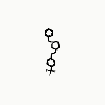 FC(F)(F)c1ccc(CC[C@@H]2C=CCN(Cc3ccccc3)C2)cc1